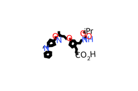 Cc1oc(-c2ccc(N(C)c3ccccc3)cc2)nc1CCOc1ccc(CCC(=O)O)c(CCNC(=O)OC(C)C)c1